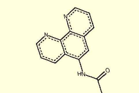 CCC(=O)Nc1cc2cccnc2c2ncccc12